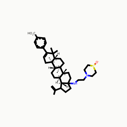 C=C(C)C1CCC2(NCCN3CC[S+]([O-])CC3)CC[C@]3(C)[C@H](CC[C@@H]4[C@@]5(C)CC=C(c6ccc(C(=O)O)cc6)C(C)(C)[C@@H]5CC[C@]43C)[C@@H]12